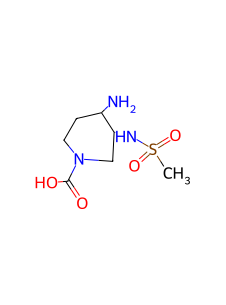 CS(=O)(=O)NC1CN(C(=O)O)CCC1N